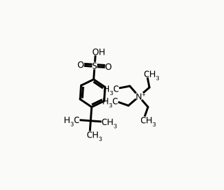 CC(C)(C)c1ccc(S(=O)(=O)O)cc1.CC[N+](CC)(CC)CC